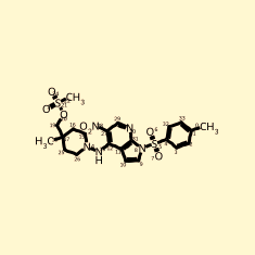 Cc1ccc(S(=O)(=O)n2ccc3c(NN4CCC(C)(COS(C)(=O)=O)CC4)c([N+](=O)[O-])cnc32)cc1